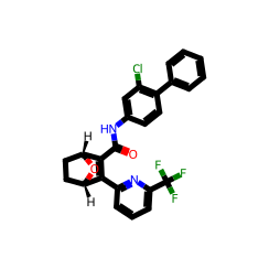 O=C(Nc1ccc(-c2ccccc2)c(Cl)c1)C1=C(c2cccc(C(F)(F)F)n2)[C@@H]2CC[C@H]1O2